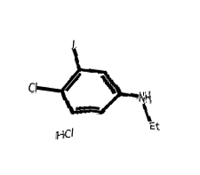 CCNc1ccc(Cl)c(I)c1.Cl